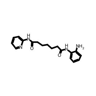 Nc1ccccc1NC(=O)CCCCCC(=O)Nc1ccccn1